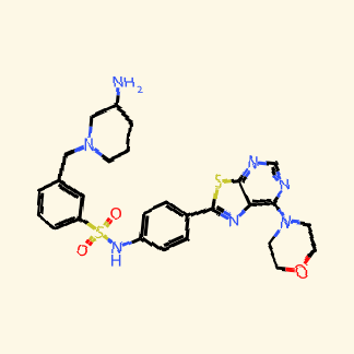 NC1CCCN(Cc2cccc(S(=O)(=O)Nc3ccc(-c4nc5c(N6CCOCC6)ncnc5s4)cc3)c2)C1